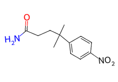 CC(C)(CCC(N)=O)c1ccc([N+](=O)[O-])cc1